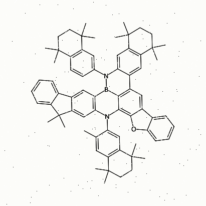 Cc1cc2c(cc1N1c3cc4c(cc3B3c5c(cc6c(oc7ccccc76)c51)-c1cc5c(cc1N3c1ccc3c(c1)C(C)(C)CCC3(C)C)C(C)(C)CCC5(C)C)-c1ccccc1C4(C)C)C(C)(C)CCC2(C)C